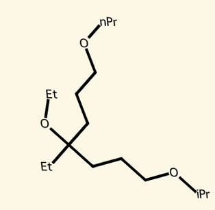 [CH2]CC(CCCOCCC)(CCCOC(C)C)OCC